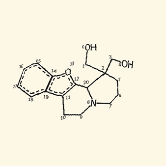 OCC1(CO)CCCN2CCc3c(oc4ccccc34)C21